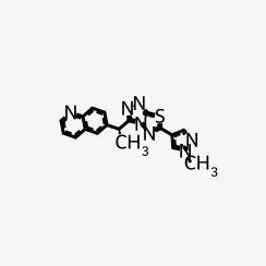 C[C@@H](c1ccc2ncccc2c1)c1nnc2sc(-c3cnn(C)c3)nn12